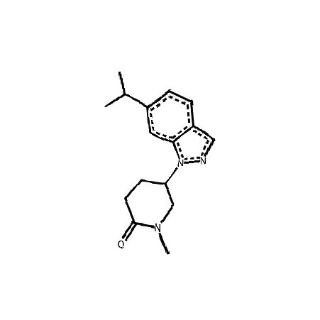 CC(C)c1ccc2cnn(C3CCC(=O)N(C)C3)c2c1